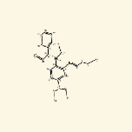 [CH2]CCC=Nc1nc(N(CC)CC)ncc1N(CC)[C@H](C=O)c1ccccc1